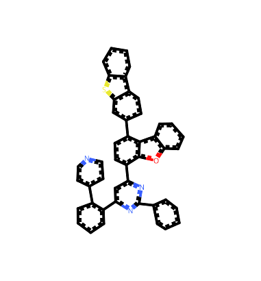 c1ccc(-c2nc(-c3ccccc3-c3ccncc3)cc(-c3ccc(-c4ccc5c(c4)sc4ccccc45)c4c3oc3ccccc34)n2)cc1